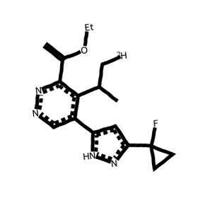 [2H]CC(C)c1c(-c2cc(C3(F)CC3)n[nH]2)cnnc1C(=C)OCC